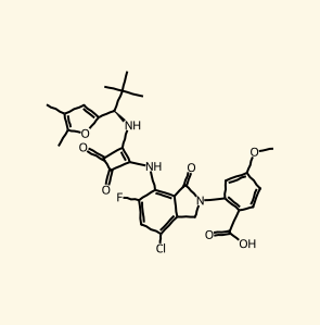 COc1ccc(C(=O)O)c(N2Cc3c(Cl)cc(F)c(Nc4c(N[C@@H](c5cc(C)c(C)o5)C(C)(C)C)c(=O)c4=O)c3C2=O)c1